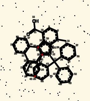 CCOc1nc2c(C)ccc(C(=O)O)c2n1-c1ccccc1-c1ccccc1-c1nnnn1C(c1ccccc1)(c1ccccc1)c1ccccc1